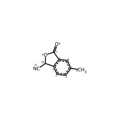 Cc1ccc2c(c1)C(=O)OC2C#N